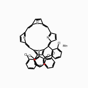 Clc1cccc(Cl)c1-c1c(-c2c(Cl)cccc2Cl)c2c(-c3c(Cl)cccc3Cl)c3nc(cc4ccc(cc5nc(cc1n2-c1c(Cl)cccc1Cl)C=C5)[nH]4)C=C3.[Mn]